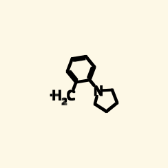 [CH2]c1ccccc1N1CCCC1